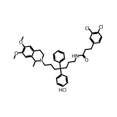 COc1cc2c(cc1OC)C(C)N(CCCC(CCCNC(=O)CCc1ccc(Cl)c(Cl)c1)(c1ccccc1)c1ccccc1)CC2.Cl